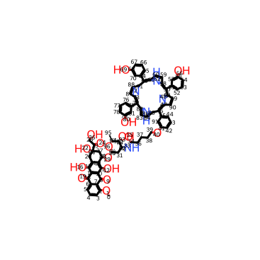 COc1cccc2c1C(=O)c1c(O)c3c(c(O)c1C2=O)C[C@@](O)(C(=O)CO)C[C@@H]3O[C@H]1C[C@@H](NC(=O)CCCCOc2cccc(-c3c4nc(c(-c5cccc(O)c5)c5ccc([nH]5)c(-c5cccc(O)c5)c5nc(c(-c6cccc(O)c6)c6ccc3[nH]6)C=C5)C=C4)c2)[C@H](O)[C@H](C)O1